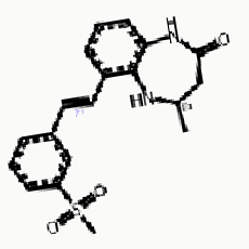 C[C@@H]1CC(=O)Nc2cccc(/C=C/c3cccc(S(C)(=O)=O)c3)c2N1